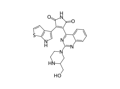 O=C1NC(=O)C(c2c[nH]c3sccc23)=C1c1nc(N2CCNC(CO)C2)nc2ccccc12